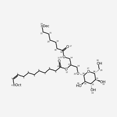 CCCCCCCC/C=C\CCCCCCCC(=O)OC(COC(=O)CCCCCCCCCCCCCCC)CO[C@@H]1O[C@H](CO)[C@@H](O)[C@H](O)[C@H]1O